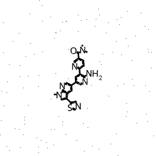 CN(C)C(=O)c1ccc(-c2cc(-c3cnc4c(c3)c(-c3cncs3)cn4C)cnc2N)nc1